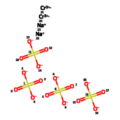 O=S(=O)([O-])[O-].O=S(=O)([O-])[O-].O=S(=O)([O-])[O-].O=S(=O)([O-])[O-].[Cr+3].[Cr+3].[Na+].[Na+]